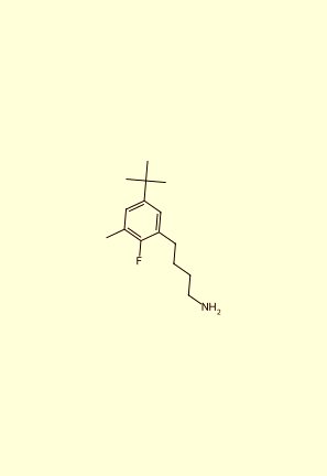 Cc1cc(C(C)(C)C)cc(CCCCN)c1F